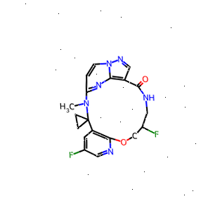 CN1c2ccn3ncc(c3n2)C(=O)NCC(F)COc2ncc(F)cc2C12CC2